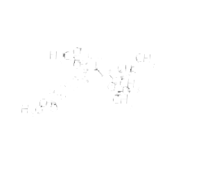 CCCCC(C)(C)C(=CC=C1CC[C@@H](OC(C)=O)[C@@H]1CCCCCCC(=O)OC)OC(C)=O